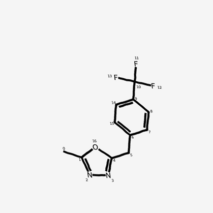 Cc1nnc(Cc2ccc(C(F)(F)F)cc2)o1